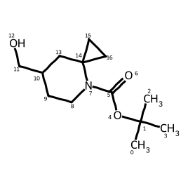 CC(C)(C)OC(=O)N1CCC(CO)CC12CC2